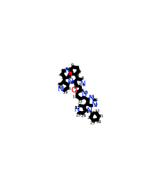 c1ccc(-c2cnc3c(oc4ccc(-c5ncnc6c5c5cnccc5n6-c5ccccc5)nc43)c2-n2c3ccncc3c3ccncc32)cc1